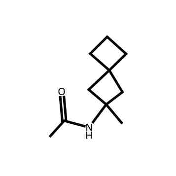 CC(=O)NC1(C)CC2(CCC2)C1